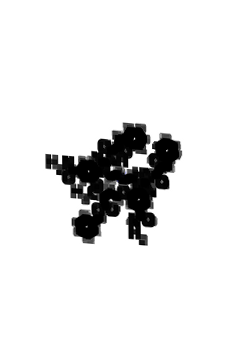 COc1cc(C(N)=O)cc2nc(NC(=O)c3cc4ccccc4o3)n(C/C=C/Cn3c(NC(=O)c4cc5ccccc5o4)nc4cc(C(N)=O)cc(OCCCC(=O)OCc5ccccc5)c43)c12